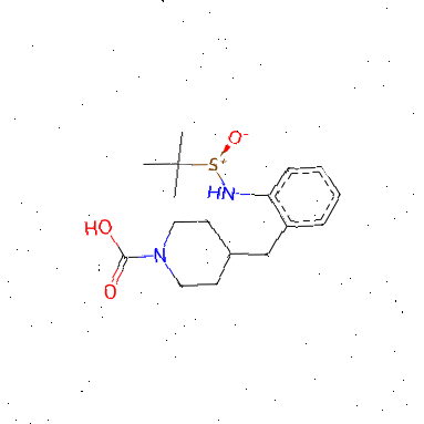 CC(C)(C)[S@@+]([O-])Nc1ccccc1CC1CCN(C(=O)O)CC1